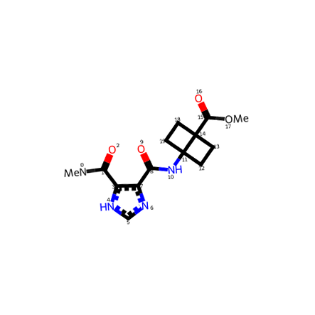 CNC(=O)c1[nH]cnc1C(=O)NC12CCC1(C(=O)OC)CC2